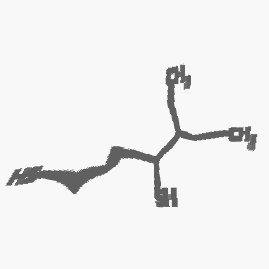 CC(C)C(S)CCS